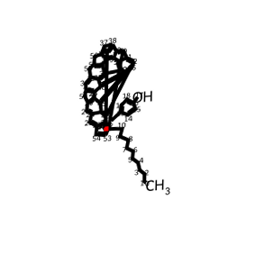 CCCCCCCCCCCC1N(c2ccc(O)cc2)CC23C4=Cc5cc6c7c8c(cc9c%10c%11c%12c%13c(cc%14c%15c(c%16c%17c2c5c7c%17c(c8%10)c%11c%16c%15%13)C13C(=C4)C=%14)CC=%12C9)C6